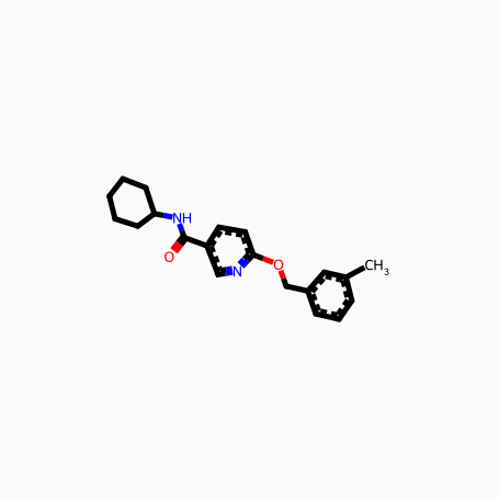 Cc1cccc(COc2ccc(C(=O)NC3CCCCC3)cn2)c1